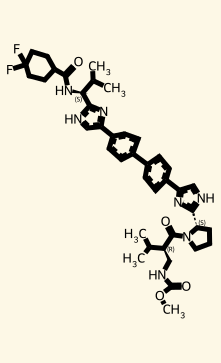 COC(=O)NC[C@H](C(=O)N1CCC[C@H]1c1nc(-c2ccc(-c3ccc(-c4c[nH]c([C@@H](NC(=O)C5CCC(F)(F)CC5)C(C)C)n4)cc3)cc2)c[nH]1)C(C)C